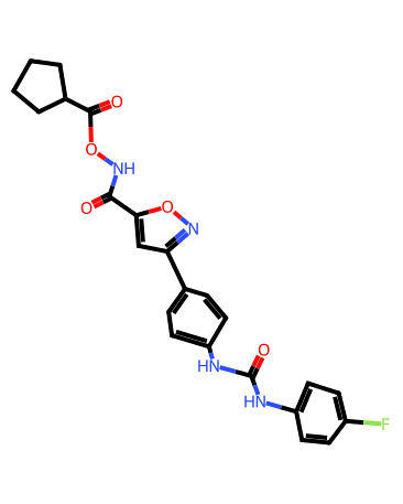 O=C(Nc1ccc(F)cc1)Nc1ccc(-c2cc(C(=O)NOC(=O)C3CCCC3)on2)cc1